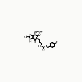 CCCCCn1c(=O)n(CCCNC(=O)OCc2ccc(F)cc2)c(=O)c2[nH]c(Cl)nc21